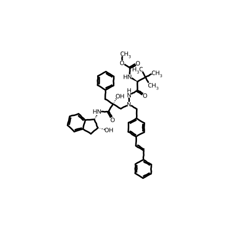 COC(=O)N[C@H](C(=O)NN(Cc1ccc(C=Cc2ccccc2)cc1)C[C@](O)(Cc1ccccc1)C(=O)N[C@H]1c2ccccc2C[C@H]1O)C(C)(C)C